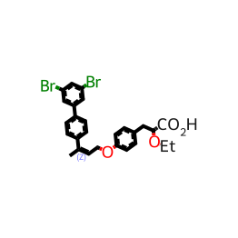 CCOC(Cc1ccc(OC/C=C(/C)c2ccc(-c3cc(Br)cc(Br)c3)cc2)cc1)C(=O)O